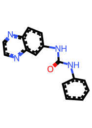 O=C(Nc1ccccc1)Nc1ccc2nccnc2c1